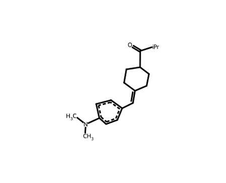 CC(C)C(=O)C1CCC(=Cc2ccc(N(C)C)cc2)CC1